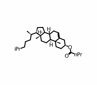 CCCC(=O)O[C@H]1CC[C@@]2(C)C(=CC[C@H]3[C@@H]4CC[C@H]([C@H](C)CCCC(C)C)[C@@]4(C)CC[C@@H]32)C1